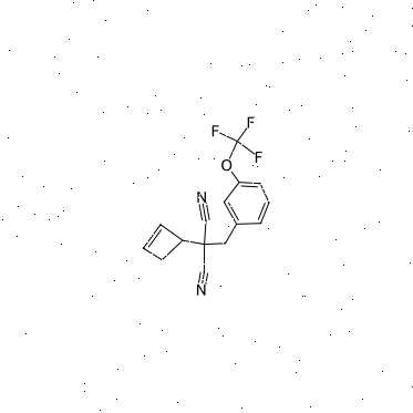 N#CC(C#N)(Cc1cccc(OC(F)(F)F)c1)C1C=CC1